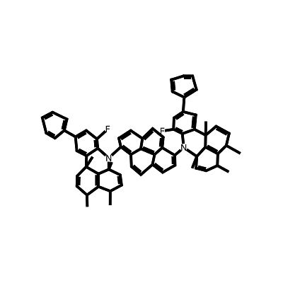 CC1C=CC2(C)C3=C1C(C)C=CC3(C)N(c1ccc3ccc4c(N5c6c(F)cc(-c7ccccc7)cc6C6(C)C=CC(C)C7=C6C5(C)C=CC7C)ccc5ccc1c3c54)c1c(F)cc(-c3ccccc3)cc12